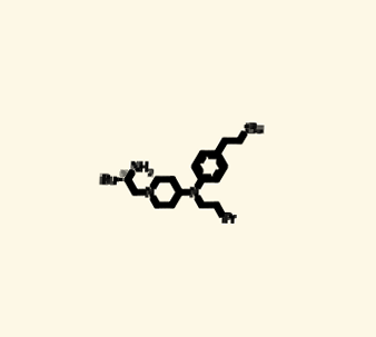 CCC(C)[C@H](N)CN1CCC(N(CCC(C)C)c2ccc(CCC(C)(C)C)cc2)CC1